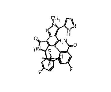 Cn1nc2c3c(c(-c4c(C(N)=O)cc(F)cc4C(F)(F)F)cc2c1-c1ccn[nH]1)C(c1cc(F)ccc1Cl)NC3=O